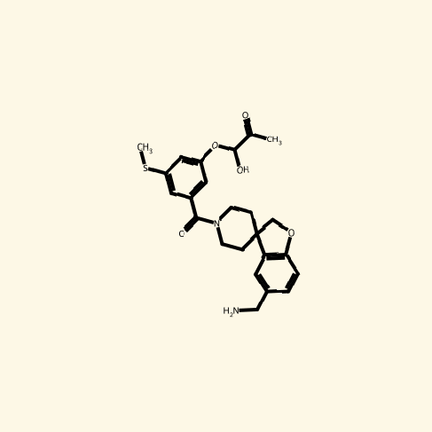 CSc1cc(OC(O)C(C)=O)cc(C(=O)N2CCC3(CC2)COc2ccc(CN)cc23)c1